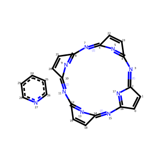 C1=C/C2=N/C3=NC(=N\C4=NC(=N\C5=NC(=N\C1=N2)/C=C5)/C=C4)/C=C3.c1ccncc1